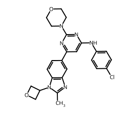 Cc1nc2cc(-c3cc(Nc4ccc(Cl)cc4)nc(N4CCOCC4)n3)ccc2n1C1COC1